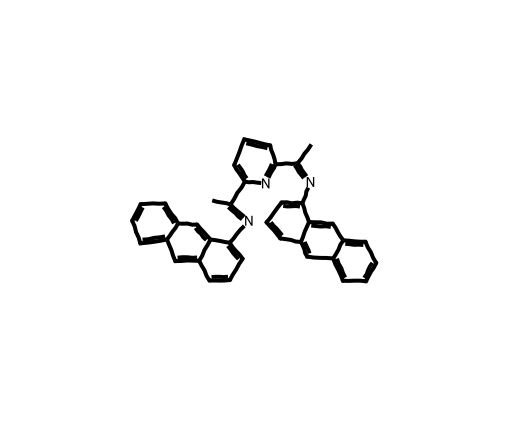 CC(=Nc1cccc2cc3ccccc3cc12)c1cccc(C(C)=Nc2cccc3cc4ccccc4cc23)n1